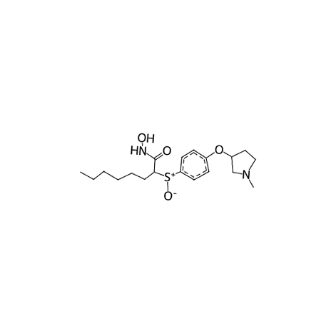 CCCCCCC(C(=O)NO)[S+]([O-])c1ccc(OC2CCN(C)C2)cc1